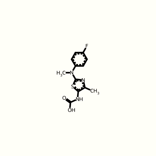 Cc1nc(N(C)c2ccc(F)cc2)sc1NC(=O)O